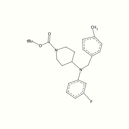 Cc1ccc(CN(c2cccc(F)c2)C2CCN(C(=O)OC(C)(C)C)CC2)cc1